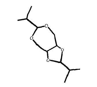 CC(C)C1OCC2OC(C(C)C)OC2CO1